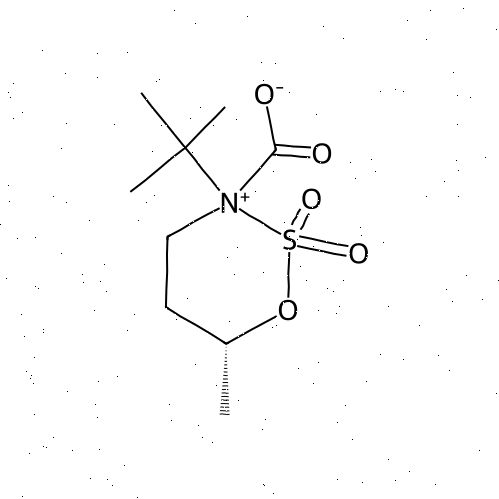 C[C@@H]1CC[N+](C(=O)[O-])(C(C)(C)C)S(=O)(=O)O1